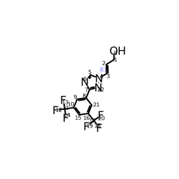 OC/C=C/n1cnc(-c2cc(C(F)(F)F)cc(C(F)(F)F)c2)n1